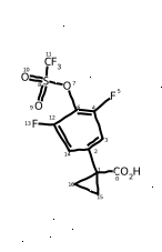 O=C(O)C1(c2cc(F)c(OS(=O)(=O)C(F)(F)F)c(F)c2)CC1